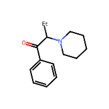 [CH2]CC(C(=O)c1ccccc1)N1CCCCC1